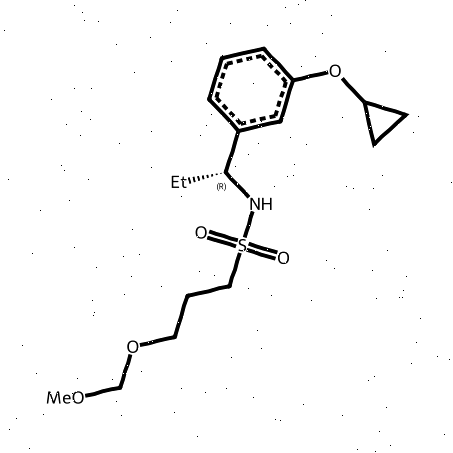 CC[C@@H](NS(=O)(=O)CCCOCOC)c1cccc(OC2CC2)c1